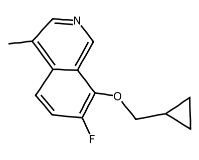 Cc1cncc2c(OCC3CC3)c(F)ccc12